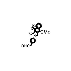 CCC(C)Oc1c2c(c(OC)c3ccccc13)CN(c1ccc(CC=O)cc1)C2=O